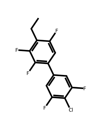 CCc1c(F)cc(-c2cc(F)c(Cl)c(F)c2)c(F)c1F